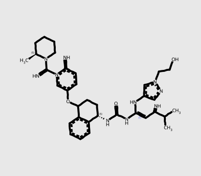 CC(C)C(=N)/C=C(/NC(=O)N[C@H]1CCC(Oc2ccc(=N)n(C(=N)N3CCCC[C@@H]3C)c2)c2ccccc21)Nc1cnn(CCO)c1